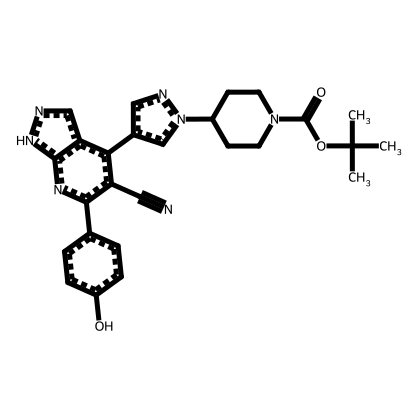 CC(C)(C)OC(=O)N1CCC(n2cc(-c3c(C#N)c(-c4ccc(O)cc4)nc4[nH]ncc34)cn2)CC1